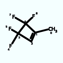 CC1=CC(F)(F)C1(F)F